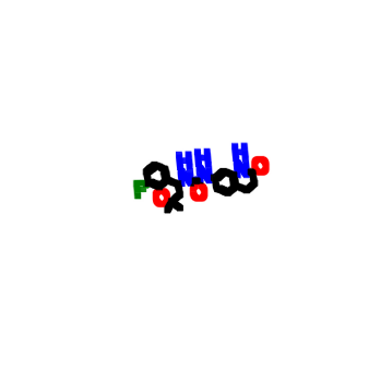 CC1(C)C[C@@H](NC(=O)Nc2ccc3c(c2)NC(=O)CC3)c2cccc(F)c2O1